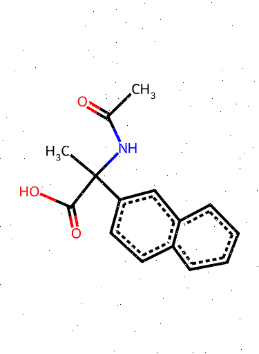 CC(=O)NC(C)(C(=O)O)c1ccc2ccccc2c1